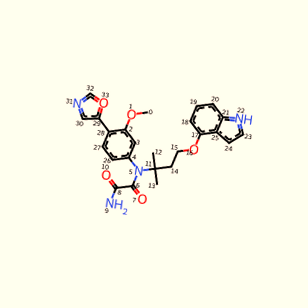 COc1cc(N(C(=O)C(N)=O)C(C)(C)CCOc2cccc3[nH]ccc23)ccc1-c1cnco1